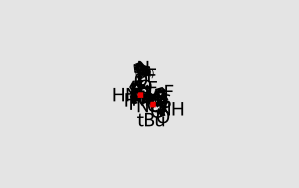 CC(C)(C)OC(=O)Nc1sc2c(F)ccc(-c3c(Cl)cn4c3C(F)Oc3c(OC[C@@]56CCCN5C[C@H](F)C6)ccc5c3[C@H]4NC(F)(F)N5)c2c1C#N